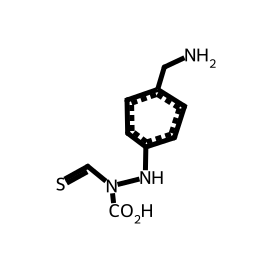 NCc1ccc(NN(C=S)C(=O)O)cc1